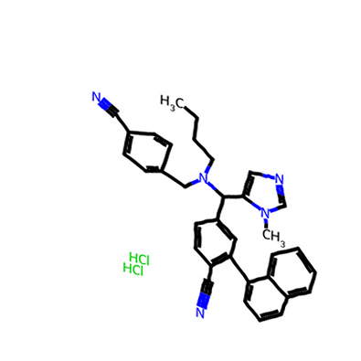 CCCCN(Cc1ccc(C#N)cc1)C(c1ccc(C#N)c(-c2cccc3ccccc23)c1)c1cncn1C.Cl.Cl